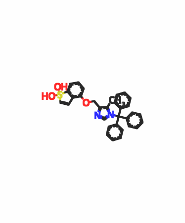 Cc1c(COc2cccc3c2C=CS3(O)O)ncn1C(c1ccccc1)(c1ccccc1)c1ccccc1